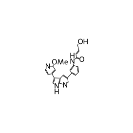 COc1cc(-c2c[nH]c3ncc(-c4cccc(NC(=O)C=CCO)c4)cc23)ccn1